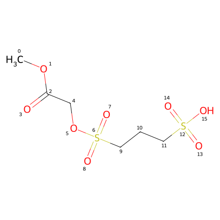 COC(=O)COS(=O)(=O)CCCS(=O)(=O)O